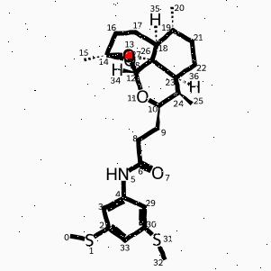 CSc1cc(NC(=O)CC[C@H]2O[C@@H]3O[C@]4(C)CC[C@H]5[C@H](C)CC[C@@H]([C@H]2C)[C@@]35OO4)cc(SC)c1